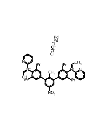 CC=[N+](c1ccccn1)c1c(C(C)C)cc(-c2cc([N+](=O)[O-])cc(-c3cc(C(C)C)c([N+](=CC)c4ccccn4)c(C(C)C)c3)c2C)cc1C(C)C.[Cl-].[Cl-].[Cl-].[Cl-].[Pd].[Pd]